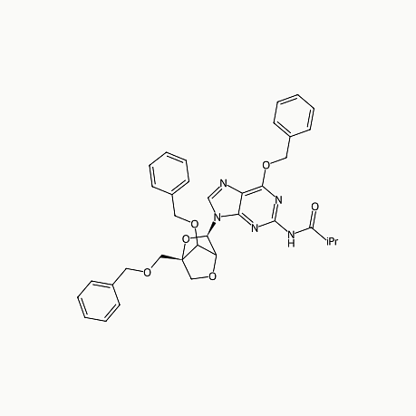 CC(C)C(=O)Nc1nc(OCc2ccccc2)c2ncn([C@@H]3O[C@@]4(COCc5ccccc5)COC3C4OCc3ccccc3)c2n1